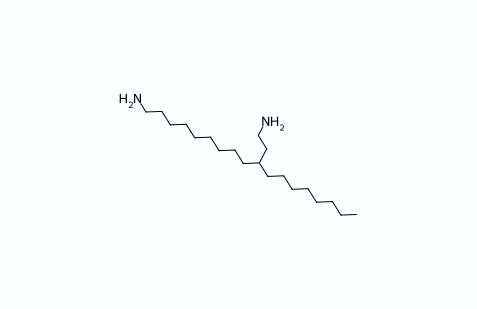 CCCCCCCCC(CCN)CCCCCCCCCN